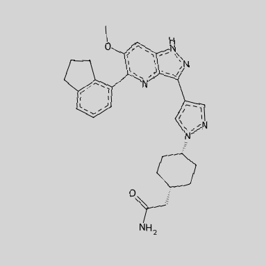 COc1cc2[nH]nc(-c3cnn([C@H]4CC[C@@H](CC(N)=O)CC4)c3)c2nc1-c1cccc2c1CCC2